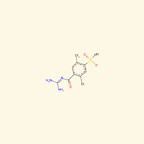 CCCS(=O)(=O)c1cc(CC)c(C(=O)N=C(N)N)cc1C(F)(F)F